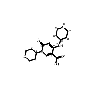 O=C(O)c1cn(C2CCOCC2)c(=O)cc1NC1CCOCC1